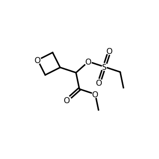 CCS(=O)(=O)OC(C(=O)OC)C1COC1